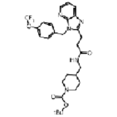 CC(C)(C)OC(=O)N1CCC(CNC(=O)CCc2nc3cccnc3n2Cc2ccc(OC(F)(F)F)cc2)CC1